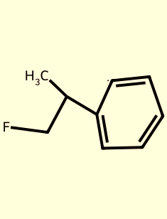 CC(CF)c1[c]cccc1